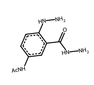 CC(=O)Nc1ccc(NN)c(C(=O)NN)c1